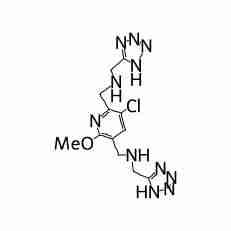 COc1nc(CNCc2nnn[nH]2)c(Cl)cc1CNCc1nnn[nH]1